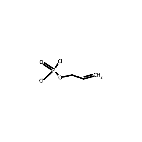 C=CCOP(=O)(Cl)Cl